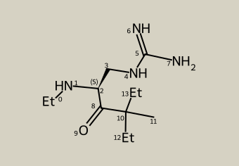 CCN[C@@H](CNC(=N)N)C(=O)C(C)(CC)CC